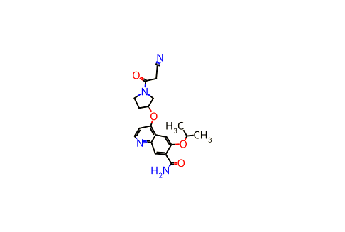 CC(C)Oc1cc2c(O[C@H]3CCN(C(=O)CC#N)C3)ccnc2cc1C(N)=O